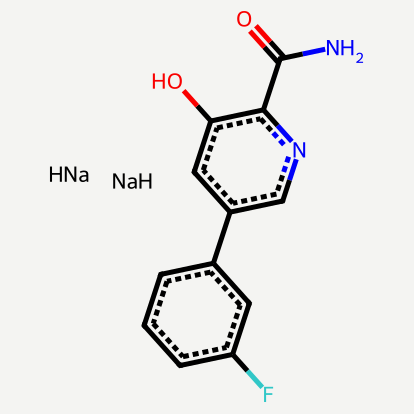 NC(=O)c1ncc(-c2cccc(F)c2)cc1O.[NaH].[NaH]